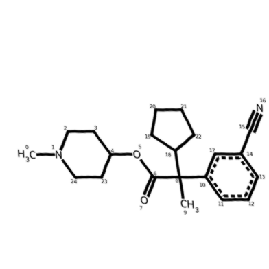 CN1CCC(OC(=O)C(C)(c2cccc(C#N)c2)C2CCCC2)CC1